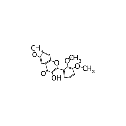 COc1ccc2oc(-c3cccc(OC)c3OC)c(O)c(=O)c2c1